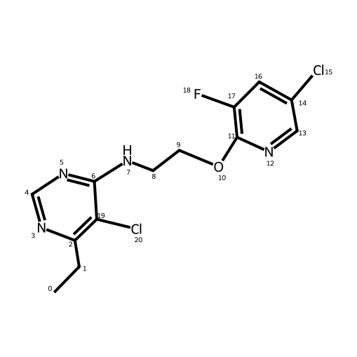 CCc1ncnc(NCCOc2ncc(Cl)cc2F)c1Cl